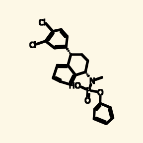 CN([C@H]1CC[C@@H](c2ccc(Cl)c(Cl)c2)c2ccccc21)P(=O)(O)Oc1ccccc1